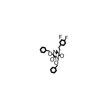 O=c1c(OCc2ccccc2)nn(CCc2ccc(F)c(F)c2)c(=O)n1COCc1ccccc1